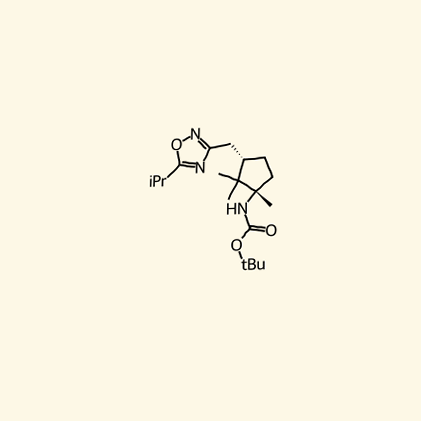 CC(C)c1nc(C[C@@H]2CC[C@](C)(NC(=O)OC(C)(C)C)C2(C)C)no1